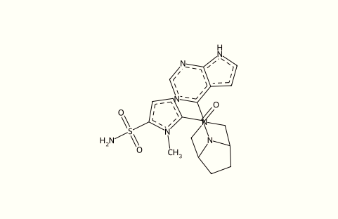 Cn1c(C(=O)N2C3CCC2CN(c2ncnc4[nH]ccc24)C3)ccc1S(N)(=O)=O